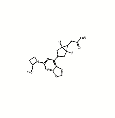 C[C@H]1CCN1c1nc(N2C[C@@H]3[C@@H](CC(=O)O)[C@@H]3C2)c2ccsc2n1